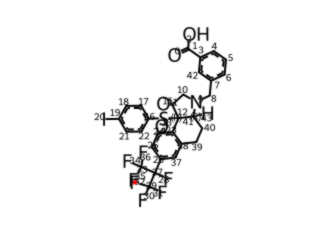 O=C(O)c1cccc(CN2CC[C@@]3(S(=O)(=O)c4ccc(I)cc4)c4ccc(C(F)(C(F)(F)F)C(F)(F)F)cc4CC[C@@H]23)c1